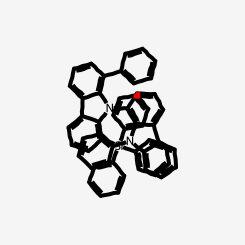 c1ccc(-c2cccc3c4cccc([Si](c5ccccc5)(c5ccccc5)c5ccccc5)c4n(-c4cccc5c6ccccc6n(-c6ccccc6)c45)c23)cc1